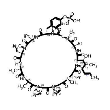 C/C=C/C[C@@H](C)[C@@H](O)[C@H]1C(=O)N[C@@H](CC)C(=O)N(C)CC(=O)N(C)[C@@H](Cc2ccc(OP(=O)(O)O)cc2)C(=O)N[C@@H](C(C)C)C(=O)N(C)[C@@H](CC(C)C)C(=O)N[C@@H](C)C(=O)N[C@H](C)C(=O)N(C)[C@@H](CC(C)C)C(=O)N(C)[C@@H](CC(C)C)C(=O)N(C)[C@@H](C(C)C)C(=O)N1C